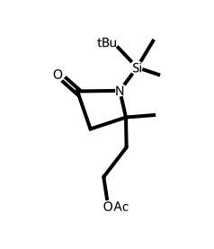 CC(=O)OCCC1(C)CC(=O)N1[Si](C)(C)C(C)(C)C